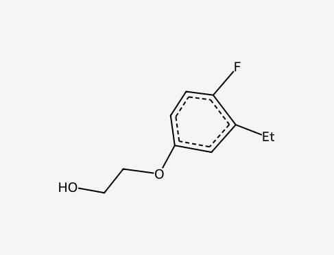 CCc1cc(OCCO)ccc1F